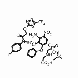 CC(C)N(C(=O)COc1nnc(C(F)(F)F)s1)c1ccc(F)cc1.C[S+](C)C.Nc1c([N+](=O)[O-])ccc(Oc2ccccc2)c1Cl.O=C(O)CNCP(=O)([O-])O